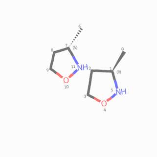 C[C@@H]1CCON1.C[C@H]1CCON1